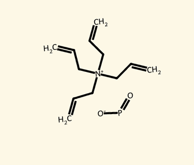 C=CC[N+](CC=C)(CC=C)CC=C.O=P[O-]